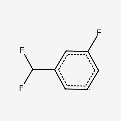 Fc1c[c]cc(C(F)F)c1